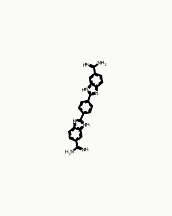 N=C(N)c1ccc2nc(-c3ccc(-c4nc5ccc(C(=N)N)cc5[nH]4)cc3)[nH]c2c1